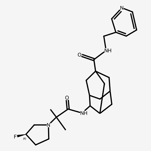 CC(C)(C(=O)NC1C2CC3CC1CC(C(=O)NCc1cccnc1)(C3)C2)N1CC[C@@H](F)C1